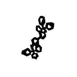 c1ccc(P(=Nc2ccc(-c3ccc(N=P(c4ccccc4)(c4ccccc4)c4ccccc4)cc3)cc2)(c2ccccc2)c2ccccc2)cc1